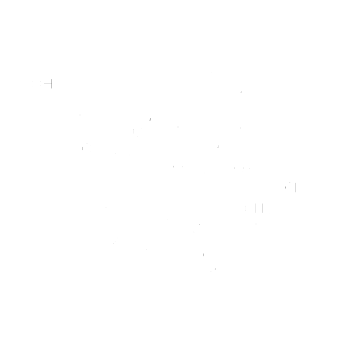 CCOC1(c2ccccc2)Oc2c(C(=O)OCCO)cccc2C(=O)C1C